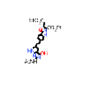 CCOC(=O)CC[C@@H](NC(=O)c1ccc(CCC2CNc3nc(NC(C)=O)nc(O)c3C2)cc1)C(=O)OCC